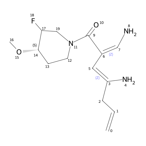 C=CC/C(N)=C/C(=C/N)C(=O)N1CC[C@H](OC)C(F)C1